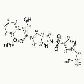 CCCOc1ccccc1[C@H](CO)C(=O)N1Cc2cn(S(=O)(=O)c3cnn(CC(F)F)c3)nc2C1